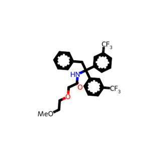 COCCOCC(=O)NC(Cc1ccccc1)(c1cccc(C(F)(F)F)c1)c1cccc(C(F)(F)F)c1